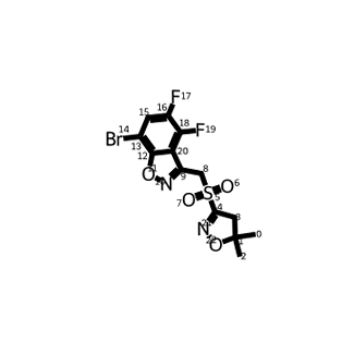 CC1(C)CC(S(=O)(=O)Cc2noc3c(Br)cc(F)c(F)c23)=NO1